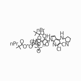 CCCC(C)(C)C(=O)OCOP(=O)(CS(=O)(=O)C[C@H]1O[C@@H](n2ccc3c(NC4CCCC4)c(C#N)c(Cl)nc32)[C@H](O)[C@@H]1O)OCOC(=O)C(C)(C)CCC